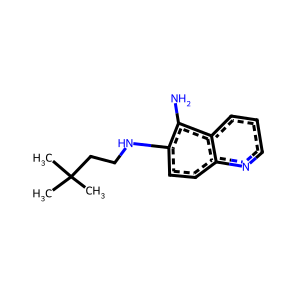 CC(C)(C)CCNc1ccc2ncccc2c1N